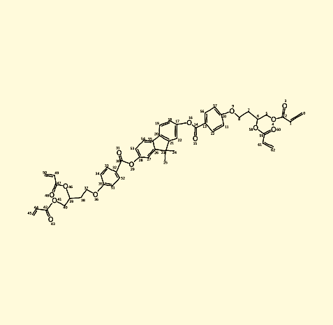 C=CC(=O)OCC(CCOc1ccc(C(=O)Oc2ccc3c(c2)C(C)(C)c2cc(OC(=O)c4ccc(OCCC(COC(=O)C=C)OC(=O)C=C)cc4)ccc2-3)cc1)OC(=O)C=C